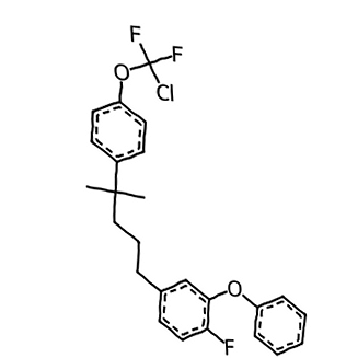 CC(C)(CCCc1ccc(F)c(Oc2ccccc2)c1)c1ccc(OC(F)(F)Cl)cc1